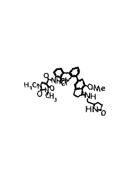 COc1cc(-c2cccc(-c3cccc(NC(=O)c4cn(C)c(=O)n(C)c4=O)c3Cl)c2Cl)cc2c1[C@@H](NCC1CCC(=O)N1)CC2